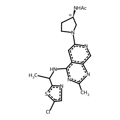 CC(=O)N[C@@H]1CCN(c2cc3c(NC(C)c4ncc(Cl)s4)nc(C)nc3cn2)C1